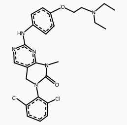 CCN(CC)CCOc1ccc(Nc2ncc3c(n2)N(C)C(=O)N(c2c(Cl)cccc2Cl)C3)cc1